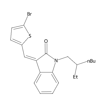 CCCCC(CC)CN1C(=O)/C(=C\c2ccc(Br)s2)c2ccccc21